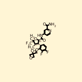 C[C@H]1[C@@H](c2ccc(F)c(F)c2OCC2(C)COC2)[C@H](C(=O)Nc2ccnc(C(N)=O)c2)O[C@@]1(C)C(F)(F)F